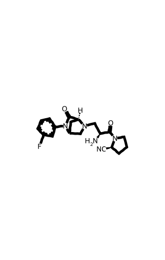 N#C[C@@H]1CCCN1C(=O)[C@@H](N)CN1CC2C[C@H]1C(=O)N2c1cccc(F)c1